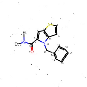 CCN(CC)C(=O)c1cc2sccc2n1Cc1ccccc1